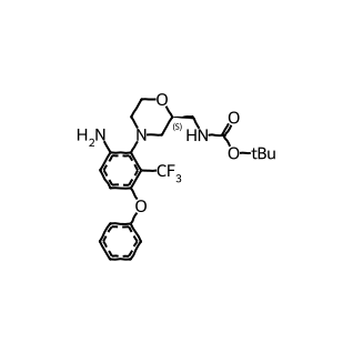 CC(C)(C)OC(=O)NC[C@H]1CN(c2c(N)ccc(Oc3ccccc3)c2C(F)(F)F)CCO1